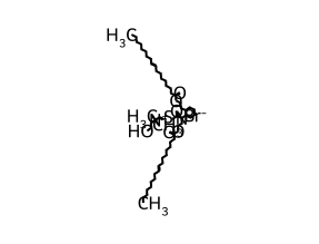 CCCCCCCCC=CCCCCCCCC(=O)OCCc1ccccc1N(CCOC(=O)CCCCCCCC=CCCCCCCCC)C(=O)CSCC[N+](C)(C)CCO.[Br-]